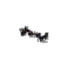 CCCCC(CC)Cn1c2ccc(Cc3c(OCC)ccc4ccccc34)cc2c2cc(/C(=N/OC)c3ccccc3OCCCCCCOc3ccccc3/C(=N\OC(C)=O)c3ccc4c(c3)c3cc(C(=O)c5c(OCC)ccc6ccccc56)ccc3n4CC(CC)CCCC)ccc21